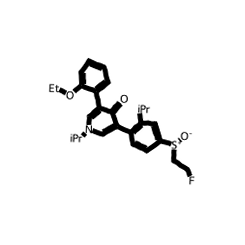 CCOc1ccccc1-c1cn(C(C)C)cc(-c2ccc([S+]([O-])CCF)cc2C(C)C)c1=O